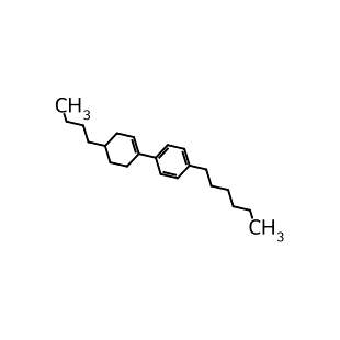 CCCCCCc1ccc(C2=CCC(CCCC)CC2)cc1